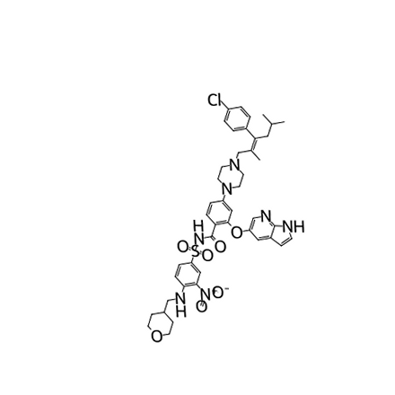 C/C(CN1CCN(c2ccc(C(=O)NS(=O)(=O)c3ccc(NCC4CCOCC4)c([N+](=O)[O-])c3)c(Oc3cnc4[nH]ccc4c3)c2)CC1)=C(\CC(C)C)c1ccc(Cl)cc1